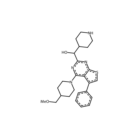 COCC1CCN(c2nc(C(O)C3CCNCC3)nc3scc(-c4ccccc4)c23)CC1